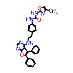 Cc1csc(NC(=O)Nc2ccc(CCNc3ncnc4oc(-c5ccccc5)c(-c5ccccc5)c34)cc2)n1